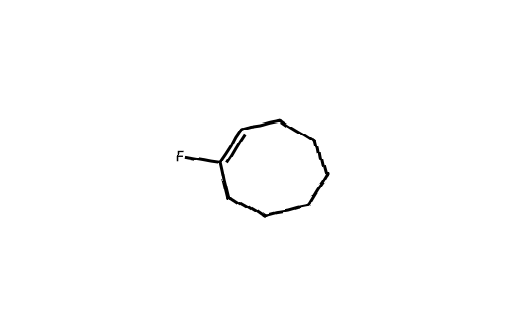 FC1=CCCCCCC1